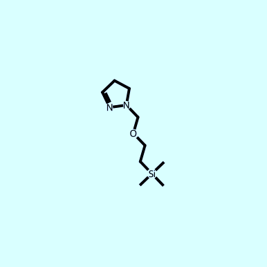 C[Si](C)(C)CCOCN1CCC=N1